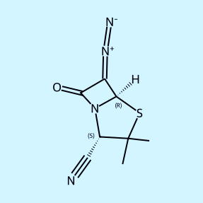 CC1(C)S[C@@H]2C(=[N+]=[N-])C(=O)N2[C@H]1C#N